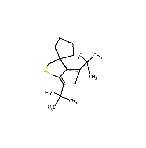 CC(C)(C)C1=C2SCC3(CCCC3)C2=C(C(C)(C)C)C1